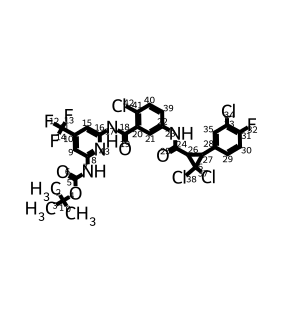 CC(C)(C)OC(=O)Nc1cc(C(F)(F)F)cc(NC(=O)c2cc(NC(=O)C3C(c4ccc(F)c(Cl)c4)C3(Cl)Cl)ccc2Cl)n1